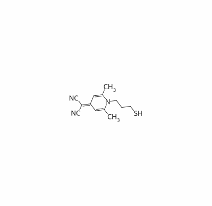 CC1=CC(=C(C#N)C#N)C=C(C)N1CCCS